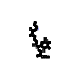 C=C/C=C\C(=O)N(C)CCCN[C@@H](CCC(=C)OC)C(=O)NC(C)C(=C)N